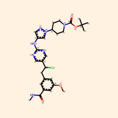 CNC(=O)c1cc(CC(Cl)c2cnc(Nc3cnn(C4CCN(C(=O)OC(C)(C)C)CC4)c3)nc2)cc(OC)c1